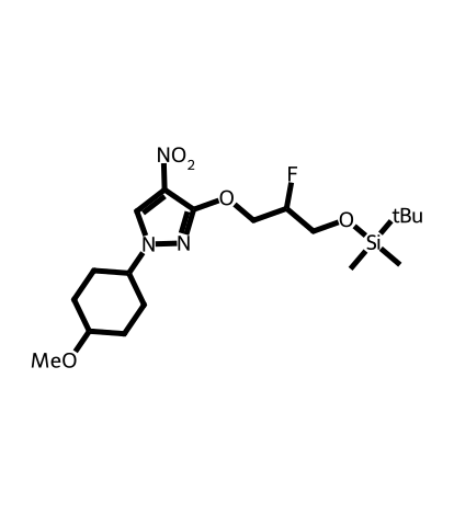 COC1CCC(n2cc([N+](=O)[O-])c(OCC(F)CO[Si](C)(C)C(C)(C)C)n2)CC1